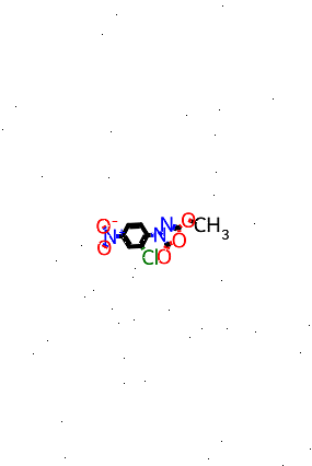 COc1nn(-c2ccc([N+](=O)[O-])cc2Cl)c(=O)o1